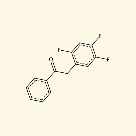 O=C(Cc1cc(F)c(F)cc1F)c1ccccc1